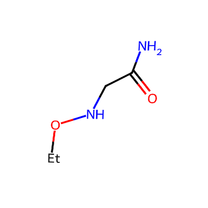 CCONCC(N)=O